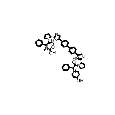 CN(C(=O)O)[C@@H](C(=O)N1CCC[C@H]1c1ncc(-c2ccc(-c3ccc(-c4cnc([C@@H]5CCCN5C(=O)C(c5ccccc5)N5CCC(O)CC5)[nH]4)cc3)cc2)[nH]1)c1ccccc1